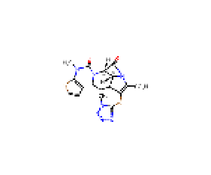 CN(C(=O)N1CCC2C(Sc3nnnn3C)=C(C(=O)O)N3C(=O)[C@@H]1[C@@H]23)c1cccs1